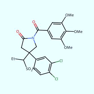 CCC(C1(c2ccc(Cl)c(Cl)c2)CC(=O)N(C(=O)c2cc(OC)c(OC)c(OC)c2)C1)S(=O)(=O)O